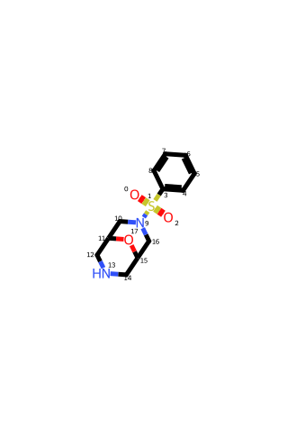 O=S(=O)(c1ccccc1)N1CC2CNCC(C1)O2